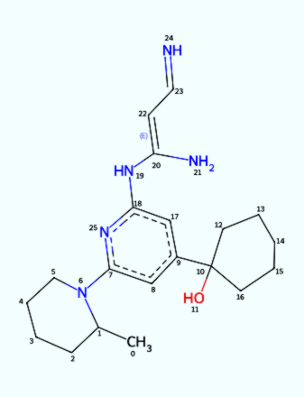 CC1CCCCN1c1cc(C2(O)CCCCC2)cc(N/C(N)=C/C=N)n1